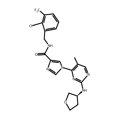 Cc1cnc(N[C@H]2CCOC2)nc1-n1cnc(C(=O)NCc2cccc(C(F)(F)F)c2Cl)c1